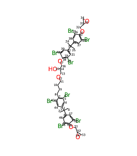 CC(C)(c1cc(Br)c(CCCCOCC(O)COc2c(Br)cc(C(C)(C)c3cc(Br)c(OCC4CO4)c(Br)c3)cc2Br)c(Br)c1)c1cc(Br)c(OCC2CO2)c(Br)c1